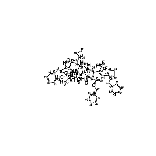 CC(C)(C)[Si](C)(C)O[C@@]12C(=O)c3c(OCc4ccccc4)noc3[C@@H](N3CCC3)[C@@H]1C[C@@H]1Cc3c(c(OCc4ccccc4)cc(C4CCCN4Cc4ccccc4)c3C(F)(F)F)C(=O)C1=C2O